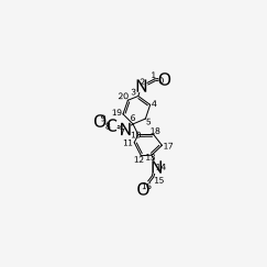 O=C=NC1=CCC(N=C=O)(c2ccc(N=C=O)cc2)C=C1